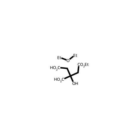 CCOC(=O)CC(O)(CC(=O)O)C(=O)O.CCOCC